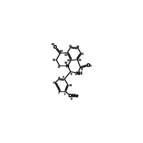 COc1cccc(C2NC(=O)c3cccc4c3N2CCC4=O)c1